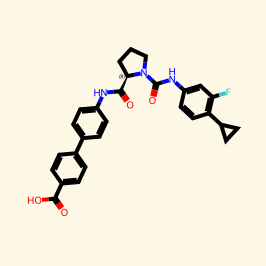 O=C(O)c1ccc(-c2ccc(NC(=O)[C@H]3CCCN3C(=O)Nc3ccc(C4CC4)c(F)c3)cc2)cc1